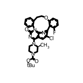 C[C@H]1CN(C(=O)OC(C)(C)C)CCN1c1nc(=O)n2c3nc(c(Cl)cc13)-c1c(F)cccc1OCCc1ccccc1-2